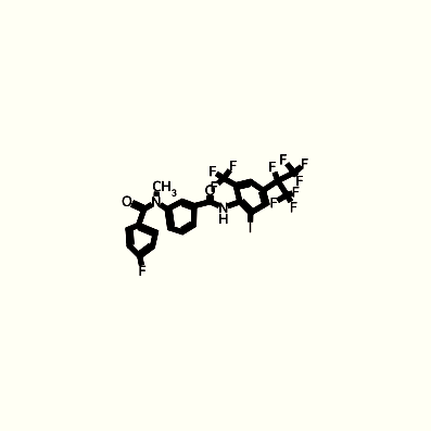 CN(C(=O)c1ccc(F)cc1)c1cccc(C(=O)Nc2c(I)cc(C(F)(C(F)(F)F)C(F)(F)F)cc2C(F)(F)F)c1